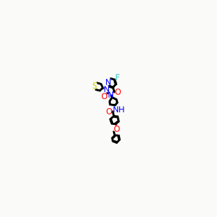 O=C(NC1CCC(n2c(=O)c3cc(F)cnc3n(C3CCSCC3)c2=O)CC1)c1ccc(OCc2ccccc2)cc1